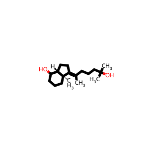 C/C(CCCC(C)(C)O)=C1/CC[C@H]2C(O)CCC[C@]12C